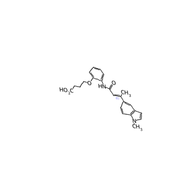 C/C(=C\C(=O)Nc1ccccc1OCCCC(=O)O)c1ccc2c(ccn2C)c1